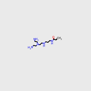 C=CC(=O)NCCCNCCN(CCN)CCN